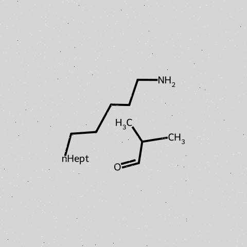 CC(C)C=O.CCCCCCCCCCCCN